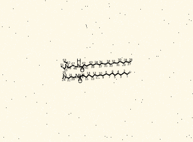 CCCCCCCCCCCCCCCCCC(=O)NCCCN(C)C.CCCCCCCCCCCCCCCCCC(=O)NCCCN(CC)CC